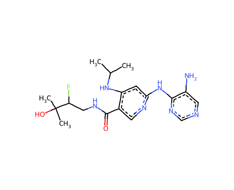 CC(C)Nc1cc(Nc2ncncc2N)ncc1C(=O)NCC(F)C(C)(C)O